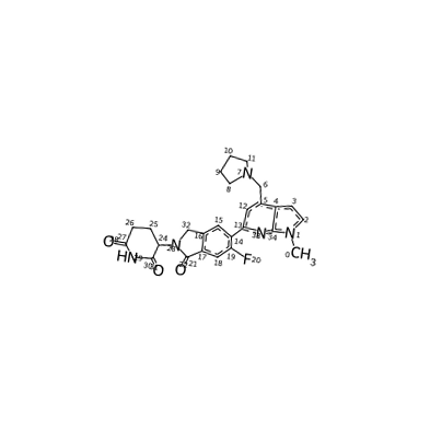 Cn1ccc2c(CN3CCCC3)cc(-c3cc4c(cc3F)C(=O)N(C3CCC(=O)NC3=O)C4)nc21